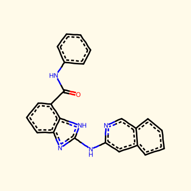 O=C(Nc1ccccc1)c1cccc2nc(Nc3cc4ccccc4cn3)[nH]c12